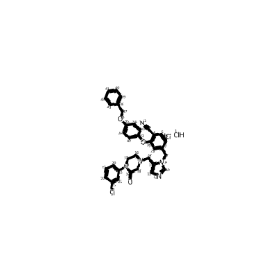 Cl.Cl.N#Cc1ccc(Cn2cncc2CN2CCN(c3cccc(Cl)c3)C(=O)C2)cc1Oc1ccc(OCc2ccccc2)cc1